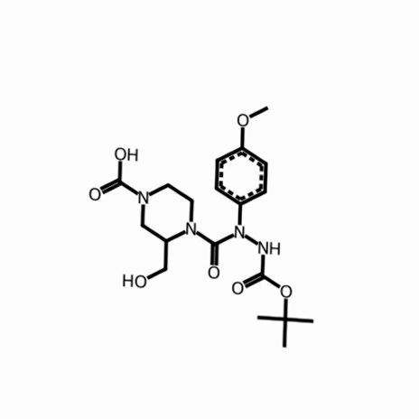 COc1ccc(N(NC(=O)OC(C)(C)C)C(=O)N2CCN(C(=O)O)CC2CO)cc1